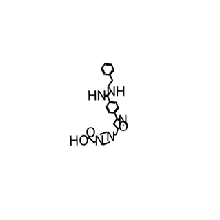 N=C(NCCc1ccccc1)c1ccc(C2=NOC(CN3CCN(CC(=O)O)CC3)C2)cc1